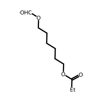 CCC(=O)OCCCCCCO[C]=O